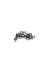 CO[C@@H]1[C@@H](O)[C@@H](O)[C@H](Oc2ccc3c(O)c(/C(C)=N\OCc4ccsc4)c(=O)oc3c2C)OC1(C)C